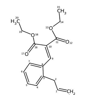 C=CCc1ccccc1C=C(C(=O)OCC)C(=O)OCC